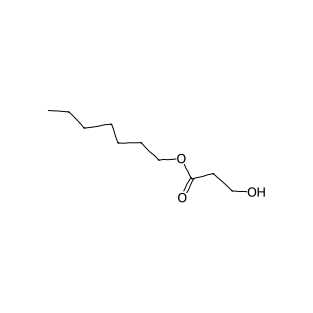 CCCCCCCOC(=O)CCO